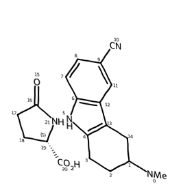 CNC1CCc2[nH]c3ccc(C#N)cc3c2C1.O=C1CC[C@@H](C(=O)O)N1